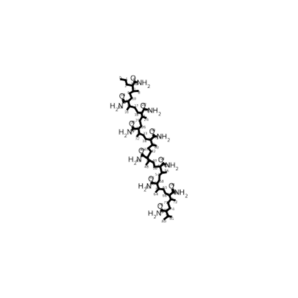 CCCC(C(N)=O)C(C)CCC(C(N)=O)C(C)CCC(C(N)=O)C(C)CCC(C(N)=O)C(C)CCC(C(N)=O)C(C)CCC(C(N)=O)C(C)CCC(C(N)=O)C(C)CCC(C(N)=O)C(C)CCC(C(N)=O)C(C)CCC(C(N)=O)C(C)C